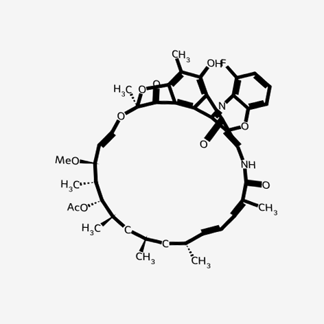 CO[C@H]1/C=C/O[C@@]2(C)Oc3c(C)c(O)c4c(=O)c(c5oc6cccc(F)c6nc-5c4c3C2=O)NC(=O)/C(C)=C\C=C\[C@H](C)C[C@@H](C)C[C@@H](C)[C@H](OC(C)=O)[C@@H]1C